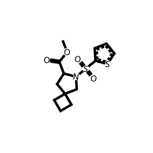 COC(=O)C1CC2(CCC2)CN1S(=O)(=O)c1cccs1